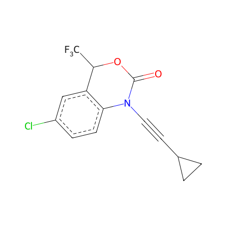 O=C1OC(C(F)(F)F)c2cc(Cl)ccc2N1C#CC1CC1